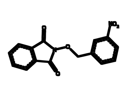 O=C1c2ccccc2C(=O)N1OCc1cccc([N+](=O)[O-])c1